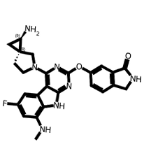 CNc1cc(F)cc2c1[nH]c1nc(Oc3ccc4c(c3)C(=O)NC4)nc(N3CC[C@@]4(C[C@H]4N)C3)c12